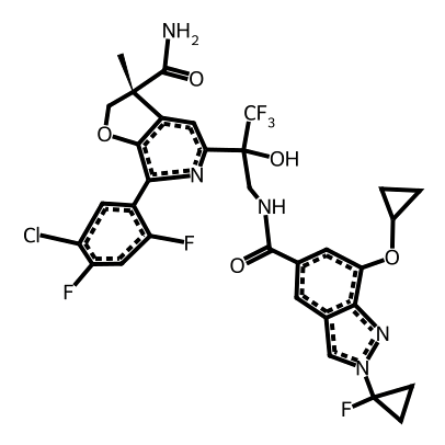 C[C@]1(C(N)=O)COc2c1cc(C(O)(CNC(=O)c1cc(OC3CC3)c3nn(C4(F)CC4)cc3c1)C(F)(F)F)nc2-c1cc(Cl)c(F)cc1F